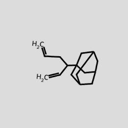 C=CCC(C=C)C12CC3CC(CC(C3)C1)C2